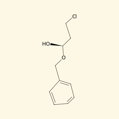 O[C@@H](CCCl)OCc1ccccc1